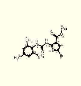 Cc1cc(C)c(NC(=O)Nc2sc(Br)cc2C(=O)OC(C)(C)C)c(C)c1